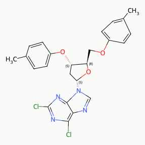 Cc1ccc(OC[C@H]2O[C@H](n3cnc4c(Cl)nc(Cl)nc43)C[C@@H]2Oc2ccc(C)cc2)cc1